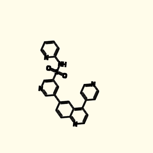 O=S(=O)(Nc1ccccn1)c1cncc(-c2ccc3nccc(-c4ccncc4)c3c2)c1